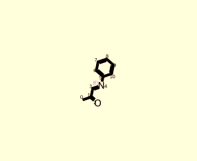 CC(=O)/C=N/c1ccccc1